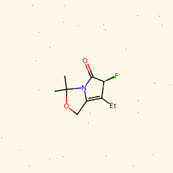 CCC1=C2COC(C)(C)N2C(=O)[C@H]1F